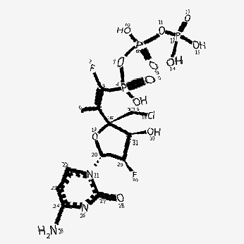 C/C(=C(\F)P(=O)(O)OP(=O)(O)OP(=O)(O)O)[C@@]1(CCl)O[C@@H](n2ccc(N)nc2=O)[C@H](F)[C@@H]1O